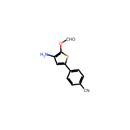 N#Cc1ccc(-c2cc(N)c(OC=O)s2)cc1